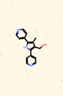 Cc1c(-c2ccncc2)[nH]c(-c2ccncc2)c1CO